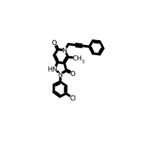 Cc1c2c(=O)n(-c3cccc(Cl)c3)[nH]c2cc(=O)n1CC#Cc1ccccc1